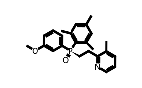 COc1cccc([P@](=O)(CCc2ncccc2C)c2c(C)cc(C)cc2C)c1